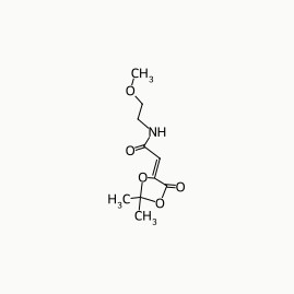 COCCNC(=O)/C=C1\OC(C)(C)OC1=O